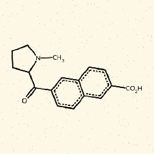 CN1CCCC1C(=O)c1ccc2cc(C(=O)O)ccc2c1